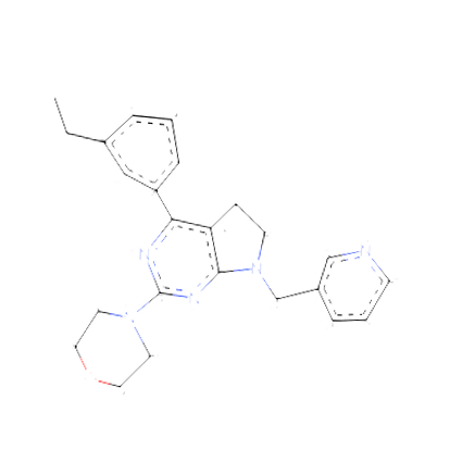 CCc1cccc(-c2nc(N3CCOCC3)nc3c2CCN3Cc2cccnc2)c1